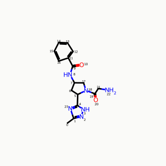 Cc1n[nH]c(C2CC(NC(=O)c3ccccc3)CN2C(=O)CN)n1